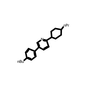 CCCCc1ccc(-c2ccc(C3CCC(CCC)CC3)nc2)cc1